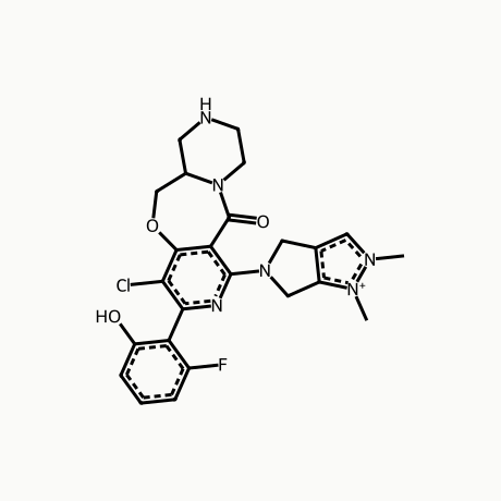 Cn1cc2c([n+]1C)CN(c1nc(-c3c(O)cccc3F)c(Cl)c3c1C(=O)N1CCNCC1CO3)C2